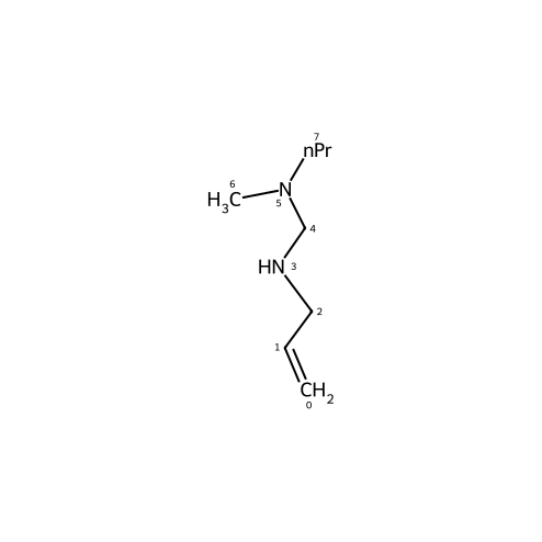 C=CCNCN(C)CCC